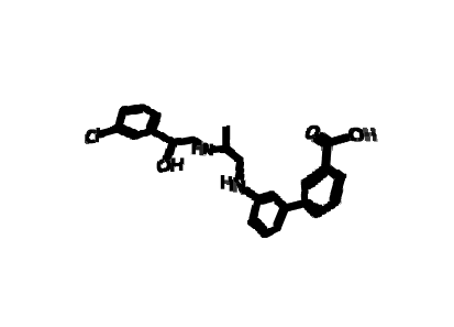 CC(CNc1cccc(-c2cccc(C(=O)O)c2)c1)NCC(O)c1cccc(Cl)c1